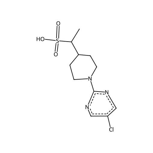 CC(C1CCN(c2ncc(Cl)cn2)CC1)S(=O)(=O)O